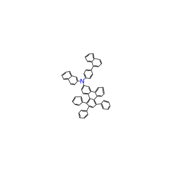 c1ccc(-c2cc(-c3ccccc3)c3c4ccccc4c4cc(N(c5ccc(-c6cccc7ccccc67)cc5)c5ccc6ccccc6c5)ccc4c3c2-c2ccccc2)cc1